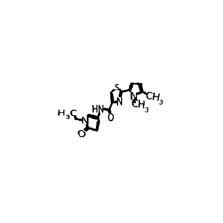 CCn1cc(NC(=O)c2csc(-c3ccc(C)n3C)n2)ccc1=O